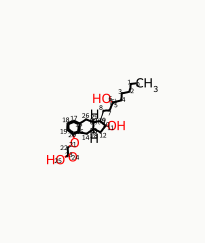 CCCCC[C@H](O)CC[C@H]1C(O)C[C@@H]2Cc3c(cccc3OCC(=O)O)C[C@@H]21